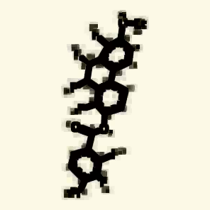 CCCc1ccc(C(=O)Oc2ccc3c(c2F)C(F)[C@@H](F)c2c-3ccc(OCC)c2F)c(F)c1F